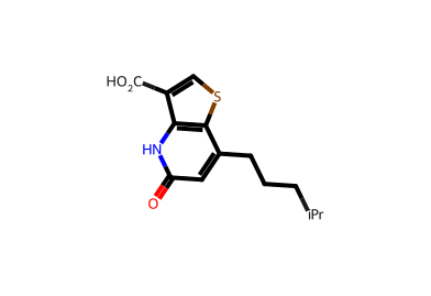 CC(C)CCCc1cc(=O)[nH]c2c(C(=O)O)csc12